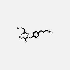 COCC(=O)N[C@@H](Cc1ccc(OCCN)cc1)C(N)=O